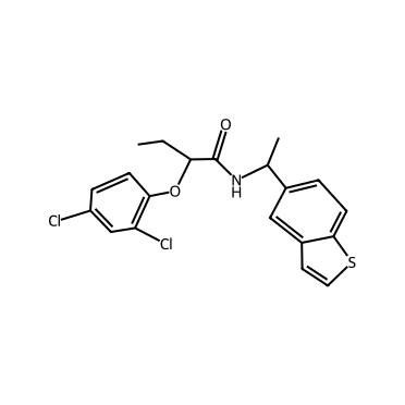 CCC(Oc1ccc(Cl)cc1Cl)C(=O)NC(C)c1ccc2sccc2c1